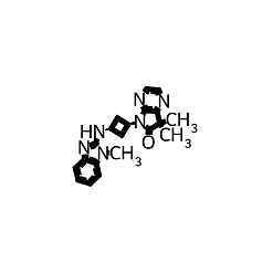 Cn1c(N[C@H]2C[C@H](N3C(=O)C(C)(C)c4nccnc43)C2)nc2ccccc21